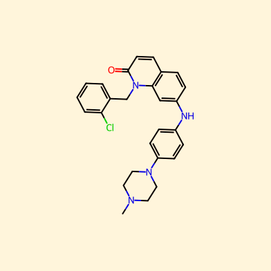 CN1CCN(c2ccc(Nc3ccc4ccc(=O)n(Cc5ccccc5Cl)c4c3)cc2)CC1